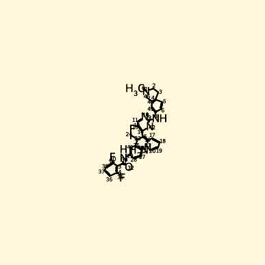 CN1CCc2ccc(Nc3ncc(F)c(/C(=C4\C=CC=CN4N)C(I)c4cccc(NC(=O)c5c(F)cccc5F)c4)n3)cc2C1